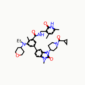 CCN(c1cc(-c2ccc3c(c2)n(C2CCN(C(=O)C4CC4)CC2)c(=O)n3C)cc(C(=O)NCc2c(C)cc(C)[nH]c2=O)c1C)C1CCOCC1